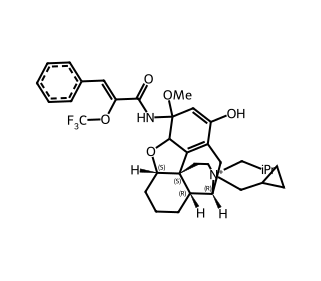 COC1(NC(=O)C(=Cc2ccccc2)OC(F)(F)F)C=C(O)C2=C3C1O[C@H]1CCC[C@H]4[C@@H](C2)[N+](CC(C)C)(CC2CC2)CC[C@]314